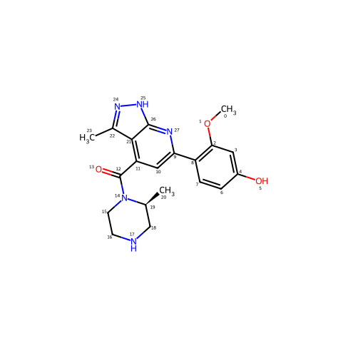 COc1cc(O)ccc1-c1cc(C(=O)N2CCNC[C@@H]2C)c2c(C)n[nH]c2n1